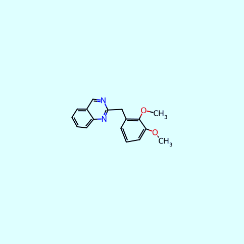 COc1cccc(Cc2ncc3ccccc3n2)c1OC